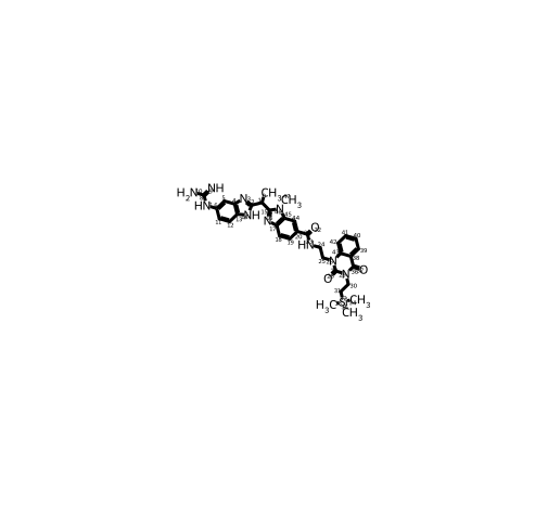 CC(c1nc2cc(NC(=N)N)ccc2[nH]1)c1nc2ccc(C(=O)NCCn3c(=O)n(CC[Si](C)(C)C)c(=O)c4ccccc43)cc2n1C